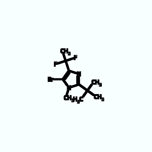 Cn1c(C(C)(C)C)nc(C(C)(F)F)c1Br